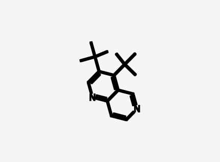 CC(C)(C)c1cnc2ccncc2c1C(C)(C)C